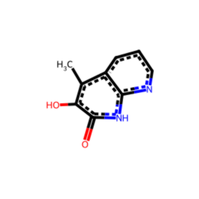 Cc1c(O)c(=O)[nH]c2ncccc12